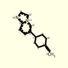 CC=C1CCC(c2ccc3nccn3c2)CC1